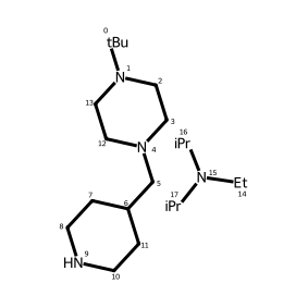 CC(C)(C)N1CCN(CC2CCNCC2)CC1.CCN(C(C)C)C(C)C